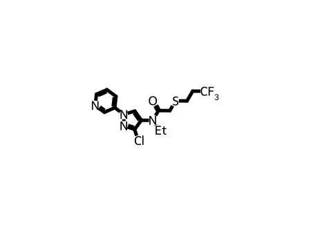 CCN(C(=O)CSCCC(F)(F)F)c1cn(-c2cccnc2)nc1Cl